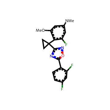 CNc1cc(F)c(C2(c3noc(-c4ccc(F)cc4F)n3)CC2)c(OC)c1